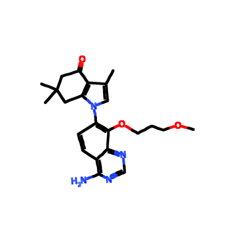 COCCCOc1c(-n2cc(C)c3c2CC(C)(C)CC3=O)ccc2c(N)ncnc12